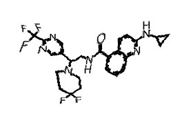 O=C(NCC(c1cnc(C(F)(F)F)nc1)N1CCC(F)(F)CC1)c1cccc2nc(NC3CC3)ccc12